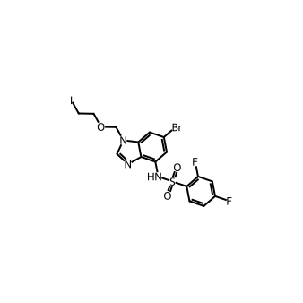 O=S(=O)(Nc1cc(Br)cc2c1ncn2COCCI)c1ccc(F)cc1F